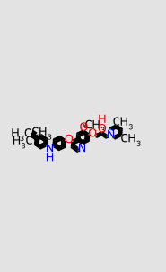 COc1cc2c(Oc3ccc(Nc4ccc(C(C)(C)C)cc4)cc3)ccnc2cc1OCC(O)CN1CC(C)CC(C)C1